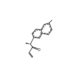 C=CC(=O)[C@@H](C)c1ccc2cc(C)ccc2c1